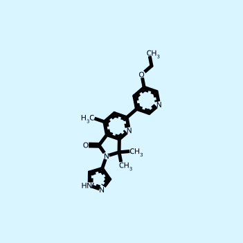 CCOc1cncc(-c2cc(C)c3c(n2)C(C)(C)N(c2cn[nH]c2)C3=O)c1